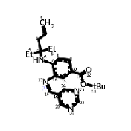 C=CCC(CC)(CC)Nc1ccc(C(=O)OC(C)(C)C)cc1/N=C\c1cncnc1